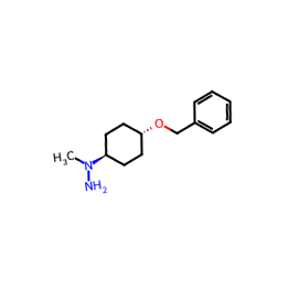 CN(N)[C@H]1CC[C@H](OCc2ccccc2)CC1